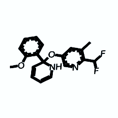 COc1ccccc1C1(Oc2cnc(C(F)F)c(C)c2)C=CC=CN1